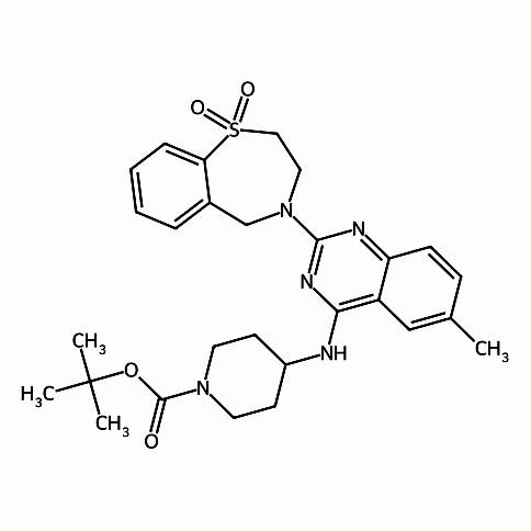 Cc1ccc2nc(N3CCS(=O)(=O)c4ccccc4C3)nc(NC3CCN(C(=O)OC(C)(C)C)CC3)c2c1